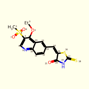 CCOc1c(S(C)(=O)=O)cnc2ccc(C=C3SC(=S)NC3=O)cc12